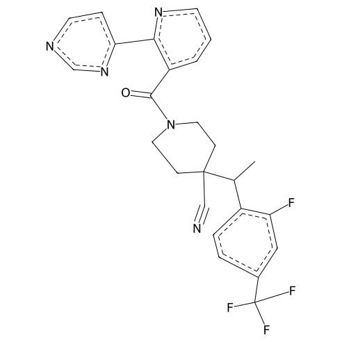 CC(c1ccc(C(F)(F)F)cc1F)C1(C#N)CCN(C(=O)c2cccnc2-c2ccncn2)CC1